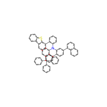 c1ccc(-c2ccc(-c3cccc4ccccc34)cc2N(c2ccccc2-c2cccc3c2sc2ccccc23)c2cccc3c2-c2ccccc2C3(c2ccccc2)c2ccccc2)cc1